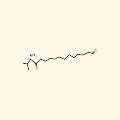 CC(C)[C@H](N)C(=O)CCCCCCCCCCC[C]=O